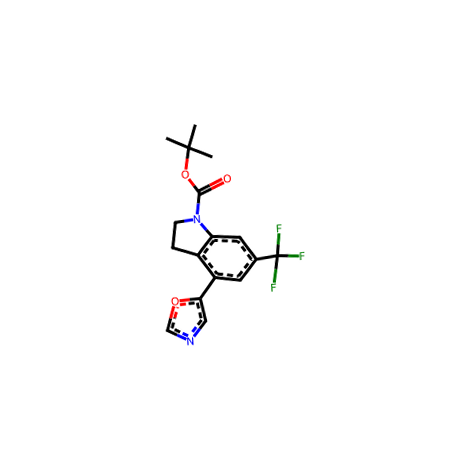 CC(C)(C)OC(=O)N1CCc2c(-c3cnco3)cc(C(F)(F)F)cc21